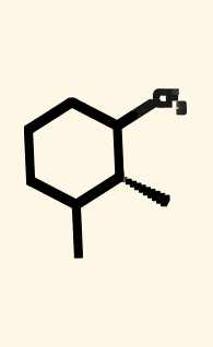 CC1CCCC(C(F)(F)F)[C@@H]1C